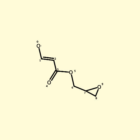 [O]C=CC(=O)OCC1CO1